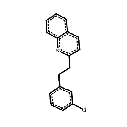 Clc1cccc(CCc2ccc3ccccc3n2)c1